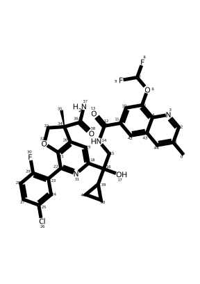 Cc1cnc2c(OC(F)F)cc(C(=O)NCC(O)(c3cc4c(c(-c5cc(Cl)ccc5F)n3)OC[C@]4(C)C(N)=O)C3CC3)cc2c1